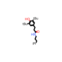 CC(C)CCCNC(=O)CCc1cc(C(C)(C)C)c(O)c(C(C)(C)C)c1